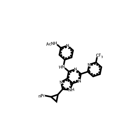 CCCC1CC1c1nc2c(Nc3ccnc(NC(C)=O)c3)nc(-c3cccc(C(F)(F)F)n3)nc2[nH]1